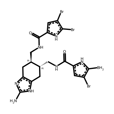 Bc1[nH]c(C(=O)NC[C@@H]2Cc3[nH]c(N)nc3C[C@H]2CNC(=O)c2cc(Br)c(Br)[nH]2)cc1Br